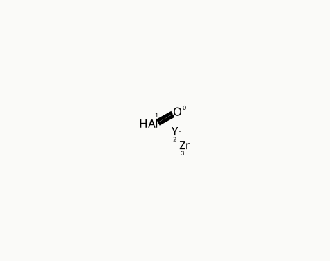 [O]=[AlH].[Y].[Zr]